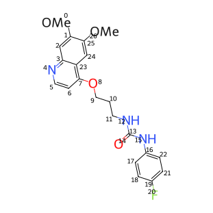 COc1cc2nccc(OCCCNC(=O)Nc3ccc(F)cc3)c2cc1OC